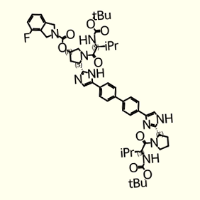 CC(C)[C@H](NC(=O)OC(C)(C)C)C(=O)N1CCC[C@H]1c1nc(-c2ccc(-c3ccc(-c4cnc([C@@H]5C[C@@H](OC(=O)N6Cc7cccc(F)c7C6)CN5C(=O)[C@@H](NC(=O)OC(C)(C)C)C(C)C)[nH]4)cc3)cc2)c[nH]1